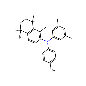 CCC1(C)CCC(C)(C)c2c1ccc(N(c1ccc(C(C)(C)C)cc1)c1cc(C)cc(C)c1)c2C